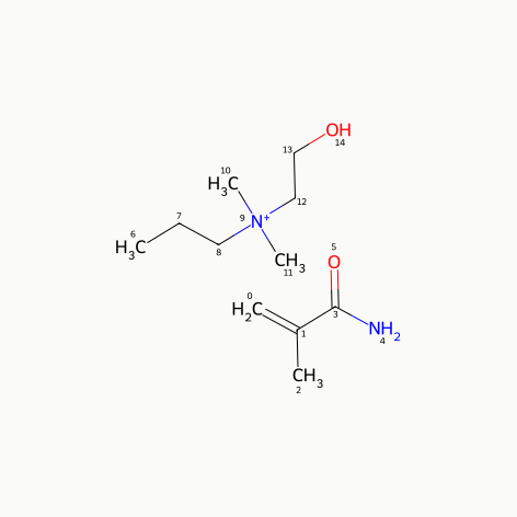 C=C(C)C(N)=O.CCC[N+](C)(C)CCO